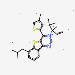 C=CC1(C)[n+]2cnc3c(sc4c(CC(C)C)cccc43)c2-c2scc(C)c2C1(C)C